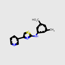 Cc1cc(Nc2nc(-c3cccnc3)cs2)cc(C(=O)O)c1